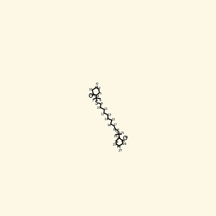 C[C@@H]1CCC(C(C)(C)SCCCCCCCCCCSC(C)(C)C2CC[C@@H](C)CC2=O)C(=O)C1